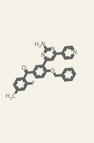 Cc1ccc(C(=O)c2ccc(OCc3ccccc3)c(-c3cc(-c4ccncc4)nc(N)n3)c2)c(F)c1